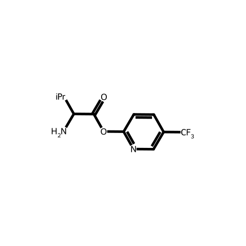 CC(C)C(N)C(=O)Oc1ccc(C(F)(F)F)cn1